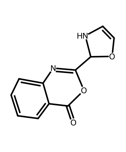 O=c1oc(C2NC=CO2)nc2ccccc12